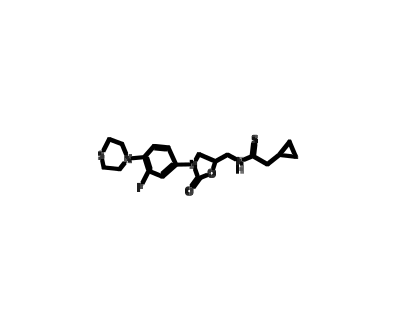 O=C1OC(CNC(=S)CC2CC2)CN1c1ccc(N2CCSCC2)c(F)c1